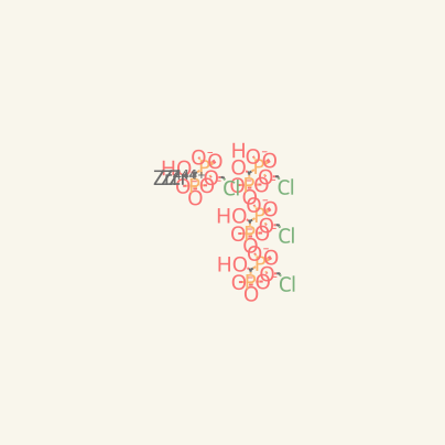 O=P([O-])([O-])C(O)P(=O)([O-])OCCl.O=P([O-])([O-])C(O)P(=O)([O-])OCCl.O=P([O-])([O-])C(O)P(=O)([O-])OCCl.O=P([O-])([O-])C(O)P(=O)([O-])OCCl.[Zr+4].[Zr+4].[Zr+4]